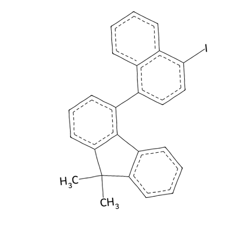 CC1(C)c2ccccc2-c2c(-c3ccc(I)c4ccccc34)cccc21